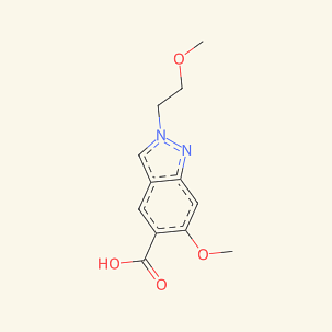 COCCn1cc2cc(C(=O)O)c(OC)cc2n1